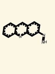 N=Nc1ccc2cc3ccccc3nc2c1